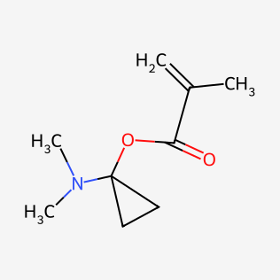 C=C(C)C(=O)OC1(N(C)C)CC1